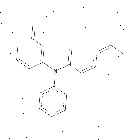 C=C/C=C(\C=C/C)N(C(=C)/C=C\C=C/C)c1ccccc1